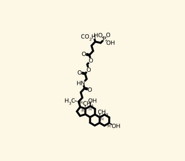 C[C@H](CCC(=O)NCC(=O)OCOC(=O)CCC(CP(=O)(O)O)C(=O)O)C1CCC2C3CCC4C[C@H](O)CC[C@]4(C)C3C[C@H](O)[C@@]21C